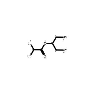 CCC(CC)C(=O)OC(CC(C)C)CC(C)C